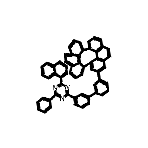 c1ccc(-c2nc(-c3cccc(-c4cccc(-c5cc6ccc7cccc8c9cccc%10ccc%11cccc(c(c5)c6c78)c%11c%109)c4)c3)nc(-c3cccc4ccccc34)n2)cc1